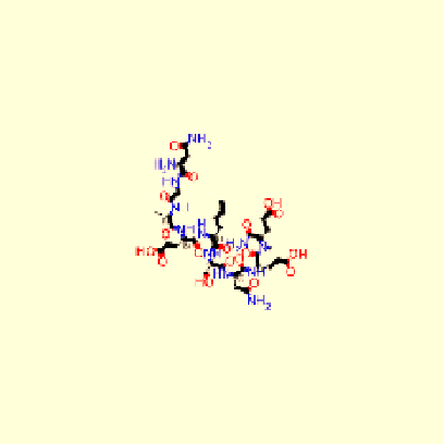 CCCC[C@H](NC(=O)[C@H](CCC(=O)O)NC(=O)[C@H](C)NC(=O)CNC(=O)[C@H](N)CC(N)=O)C(=O)N[C@@H](CO)C(=O)N[C@@H](CC(N)=O)C(=O)N[C@@H](CCC(=O)O)C(=O)N(C)[C@@H](CCC(=O)O)C(N)=O